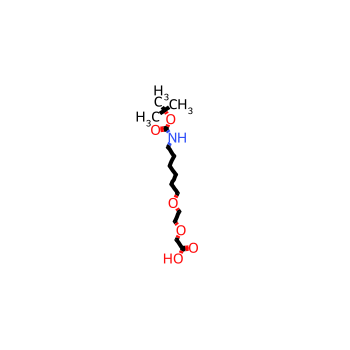 CC(C)(C)OC(=O)NCCCCCCOCCOCC(=O)O